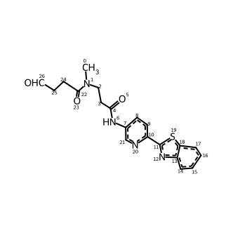 CN(CCC(=O)Nc1ccc(-c2nc3ccccc3s2)nc1)C(=O)CCC=O